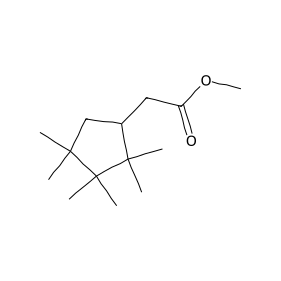 COC(=O)CC1CC(C)(C)C(C)(C)C1(C)C